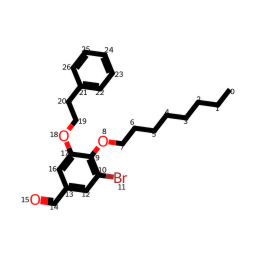 CCCCCCCCOc1c(Br)cc(C=O)cc1OCCc1ccccc1